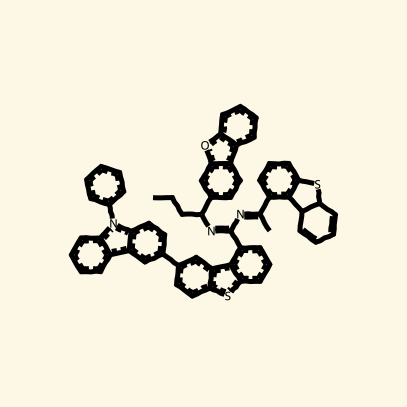 CCCC(/N=C(\N=C(/C)c1cccc2c1C1C=CC=CC1S2)c1cccc2sc3ccc(-c4ccc5c(c4)c4ccccc4n5-c4ccccc4)cc3c12)c1ccc2c(c1)oc1ccccc12